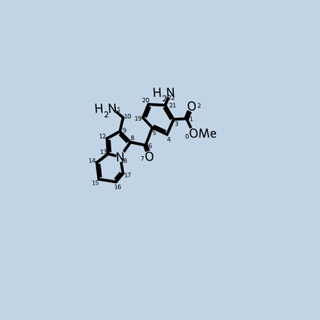 COC(=O)c1cc(C(=O)c2c(CN)cc3ccccn23)ccc1N